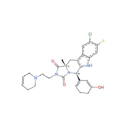 C[C@@]12Cc3c([nH]c4cc(F)c(Cl)cc34)[C@@H](C3=CCCC(O)=C3)N1C(=O)N(CCN1CC=CCC1)C2=O